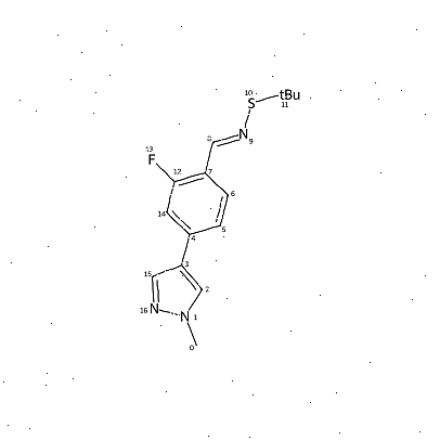 Cn1cc(-c2ccc(/C=N/SC(C)(C)C)c(F)c2)cn1